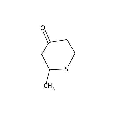 CC1CC(=O)CCS1